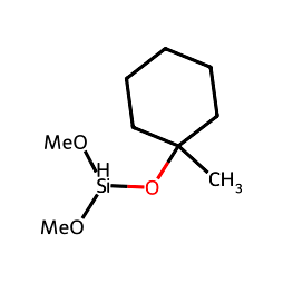 CO[SiH](OC)OC1(C)CCCCC1